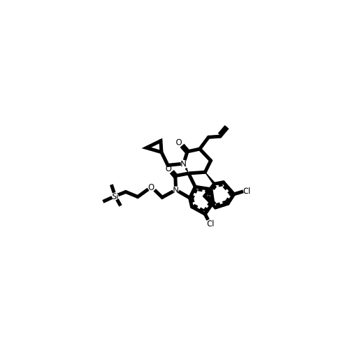 C=CCC1C[C@@H](c2cccc(Cl)c2)[C@@]2(C(=O)N(COCC[Si](C)(C)C)c3cc(Cl)ccc32)N(CC2CC2)C1=O